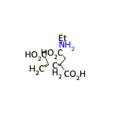 C=C(CC(=O)O)C(=O)O.C=CC(=O)O.CCN